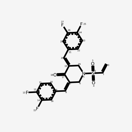 C=CS(=O)(=O)N1C/C(=C/c2ccc(F)c(F)c2)C(=O)/C(=C/c2ccc(F)c(F)c2)C1